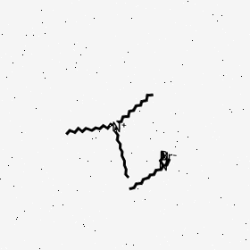 CCCCCCCCCCCC[N+](C)(CCCCCCCCCCCC)CCCCCCCCCCCC.CCCCCCCCCCN1C=CN(C)C1.[Br-]